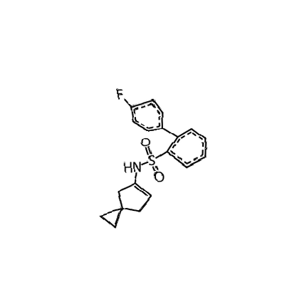 O=S(=O)(NC1=CCC2(CC2)C1)c1ccccc1-c1ccc(F)cc1